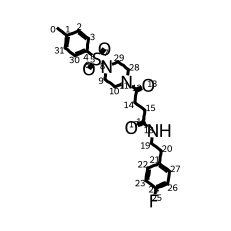 Cc1ccc(S(=O)(=O)N2CCN(C(=O)CCC(=O)NCCc3ccc(F)cc3)CC2)cc1